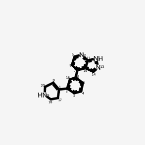 C1=C(c2cccc(-c3ccnc4[nH]ncc34)c2)CCNC1